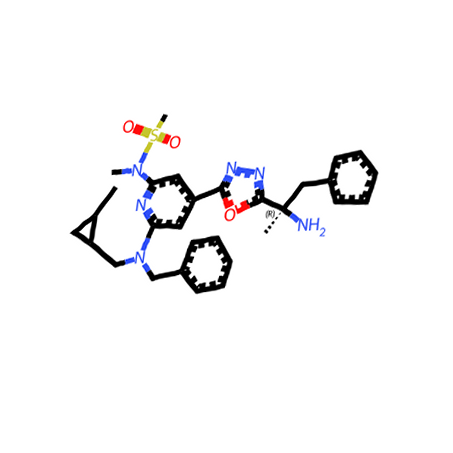 CC1CC1CN(Cc1ccccc1)c1cc(-c2nnc([C@](C)(N)Cc3ccccc3)o2)cc(N(C)S(C)(=O)=O)n1